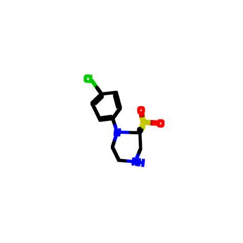 O=S(=O)=C1CNCCN1c1ccc(Cl)cc1